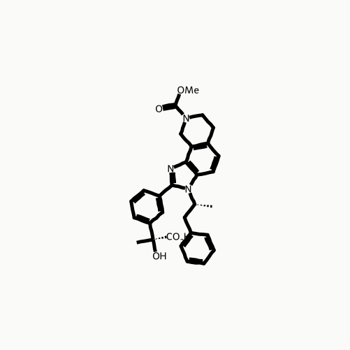 COC(=O)N1CCc2ccc3c(nc(-c4cccc([C@](C)(O)C(=O)O)c4)n3[C@H](C)Cc3ccccc3)c2C1